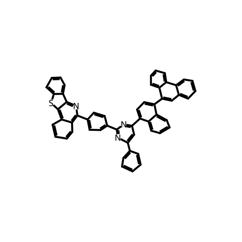 c1ccc(-c2cc(-c3ccc(-c4cc5ccccc5c5ccccc45)c4ccccc34)nc(-c3ccc(-c4nc5c6ccccc6sc5c5ccccc45)cc3)n2)cc1